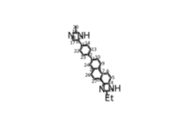 CCc1nc2c(ccc3c4ccc(-c5ccc(-c6cnc(C)[nH]6)cc5)cc4ccc32)[nH]1